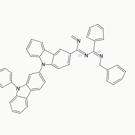 C=N/C(=N\C(=N/Cc1ccccc1)c1ccccc1)c1ccc2c(c1)c1ccccc1n2-c1ccc2c3ccccc3n(-c3ccccc3)c2c1